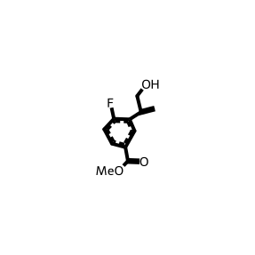 C=C(CO)c1cc(C(=O)OC)ccc1F